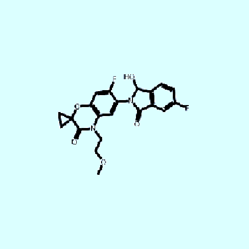 COCCN1C(=O)C2(CC2)Oc2cc(F)c(N3C(=O)c4cc(F)ccc4C3O)cc21